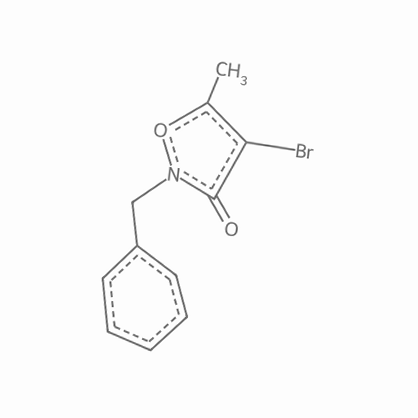 Cc1on(Cc2ccccc2)c(=O)c1Br